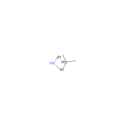 CC(C)NC(C)C.C[SiH](C)C